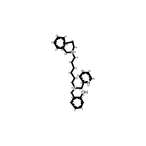 Oc1ccccc1CN(CCCCCCN1CCc2ccccc2C1)Cc1ccccn1